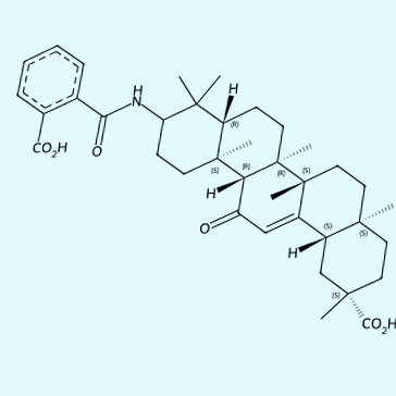 CC1(C)C(NC(=O)c2ccccc2C(=O)O)CC[C@]2(C)[C@H]3C(=O)C=C4[C@H]5C[C@@](C)(C(=O)O)CC[C@]5(C)CC[C@@]4(C)[C@]3(C)CC[C@@H]12